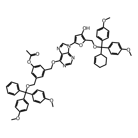 COc1ccc(C(OCc2cc(COc3ncnc4c3ncn4-c3cc(O)c(COC(c4ccc(OC)cc4)(c4ccc(OC)cc4)C4C=CCCC4)o3)cc(OC(C)=O)c2)(c2ccccc2)c2ccc(OC)cc2)cc1